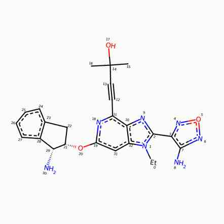 CCn1c(-c2nonc2N)nc2c(C#CC(C)(C)O)nc(O[C@H]3Cc4ccccc4[C@H]3N)cc21